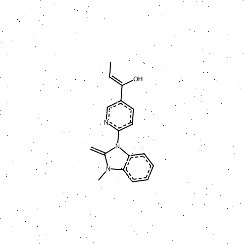 C=C1N(C)c2ccccc2N1c1ccc(/C(O)=C/C)cn1